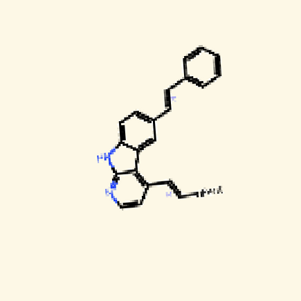 CCCCC/C=C/c1ccnc2[nH]c3ccc(/C=C/c4ccccc4)cc3c12